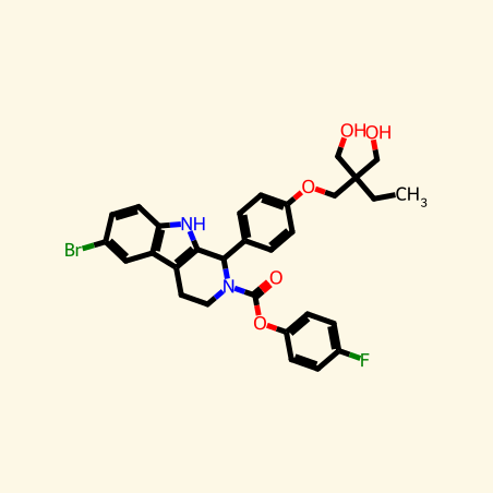 CCC(CO)(CO)COc1ccc(C2c3[nH]c4ccc(Br)cc4c3CCN2C(=O)Oc2ccc(F)cc2)cc1